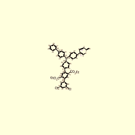 C=C/C=C\C(=C/C)c1ccc(N(c2ccc(-c3ccccc3)cc2)c2ccc(-c3cc(C(=O)OCC)c(-c4cc(Cl)cc(Cl)c4)cc3C(=O)OCC)cc2)cc1